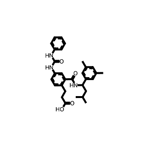 Cc1cc(C)cc(C(CC(C)C)NC(=O)c2cc(NC(=O)Nc3ccccc3)ccc2CCC(=O)O)c1